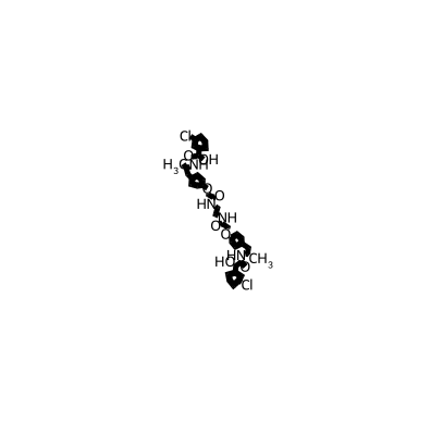 CC(Cc1ccc(OCC(=O)NCCNC(=O)COc2ccc(CC(C)NC(=O)[C@H](O)c3cccc(Cl)c3)cc2)cc1)NC(=O)C(O)c1cccc(Cl)c1